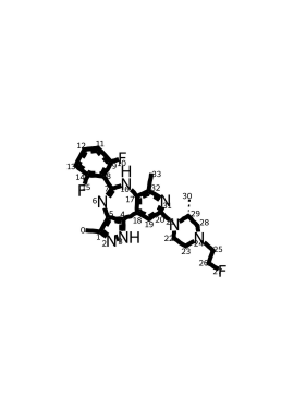 Cc1n[nH]c2c1N=C(c1c(F)cccc1F)Nc1c-2cc(N2CCN(CCF)C[C@H]2C)nc1C